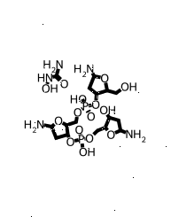 NC(=O)NO.NC1CC(O)C(COP(=O)(O)OC2CC(N)OC2COP(=O)(O)OC2CC(N)OC2CO)O1